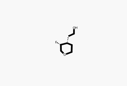 OCC[C@@H]1CCOC[C@@H]1F